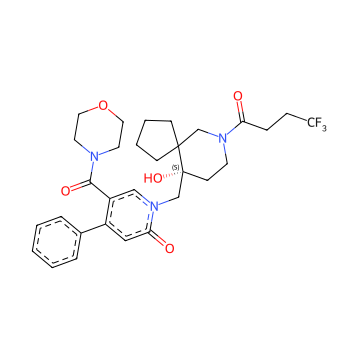 O=C(CCC(F)(F)F)N1CC[C@@](O)(Cn2cc(C(=O)N3CCOCC3)c(-c3ccccc3)cc2=O)C2(CCCC2)C1